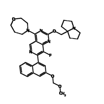 COCOc1cc(-c2ncc3c(N4CCCOCC4)nc(OCC45CCCN4CCC5)nc3c2F)c2ccccc2c1